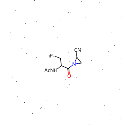 CC(=O)NC(CC(C)C)C(=O)N1CC1C#N